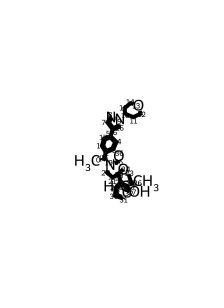 C[C@@H](c1ccc(-c2cnn(C3CCOCC3)c2)cc1)N1CC[C@](CC(C)(C)O)(c2ccccc2)OC1=O